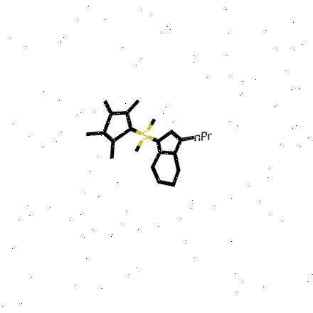 CCCC1CC(S(C)(C)C2C(C)C(C)C(C)C2C)C2CCCCC12